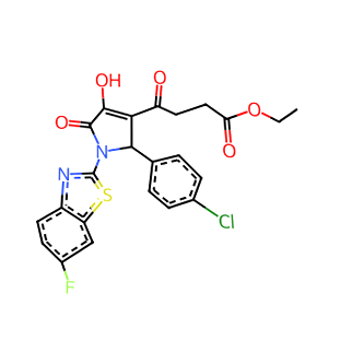 CCOC(=O)CCC(=O)C1=C(O)C(=O)N(c2nc3ccc(F)cc3s2)C1c1ccc(Cl)cc1